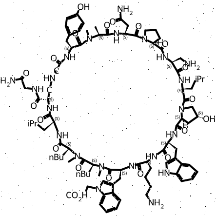 CCCC[C@H]1C(=O)N(C)[C@@H](CCCC)C(=O)N[C@@H](CC(C)C)C(=O)N[C@H](C(=O)NCC(N)=O)CNCC(=O)N[C@@H](Cc2ccc(O)cc2)C(=O)N(C)[C@@H](C)C(=O)N[C@@H](CC(N)=O)C(=O)N2CCC[C@H]2C(=O)N[C@@H](CN)C(=O)N[C@@H](CC(C)C)C(=O)N2C[C@H](O)C[C@H]2C(=O)N[C@@H](Cc2c[nH]c3ccccc23)C(=O)N[C@@H](CCCCN)C(=O)N[C@@H](Cc2cn(CC(=O)O)c3ccccc23)C(=O)N1C